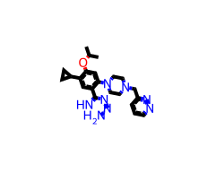 CC(C)Oc1cc(N2CCN(Cc3cccnn3)CC2)c(C(=N)/N=N\N)cc1C1CC1